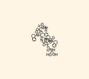 CN[C@@H](C)C(=O)NC(C(=O)NC(Cc1ccc([C@H]2CC(C(=O)N[C@@H]3CCCc4ccccc43)N(C(=O)[C@@H](NC(=O)[C@H](C)NC)C(C)(C)C)C2)cc1)C(=O)N[C@@H]1CCCc2ccccc21)C(C)(C)SCC(=O)NC(CO)CO